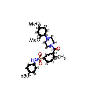 CCCCc1ccc(NS(=O)(=O)c2ccc(C)c(C(=O)N3CCN(c4ccc(OC)cc4OC)CC3)c2)cc1